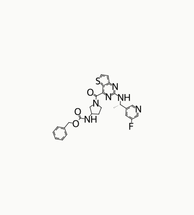 C[C@H](Nc1nc(C(=O)N2CCC(NC(=O)OCc3ccccc3)C2)c2sccc2n1)c1cncc(F)c1